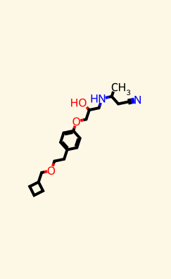 CC(CC#N)NCC(O)COc1ccc(CCOCC2CCC2)cc1